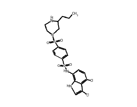 CCCC1CN(S(=O)(=O)c2ccc(S(=O)(=O)Nc3ccc(Cl)c4c(Cl)c[nH]c34)cc2)CCN1